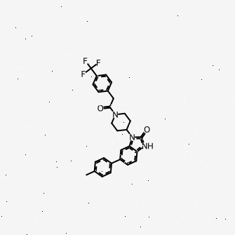 Cc1ccc(-c2ccc3[nH]c(=O)n(C4CCN(C(=O)Cc5ccc(C(F)(F)F)cc5)CC4)c3c2)cc1